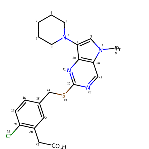 CC(C)n1cc(N2CCCCC2)c2nc(SCc3ccc(Cl)c(CC(=O)O)c3)ncc21